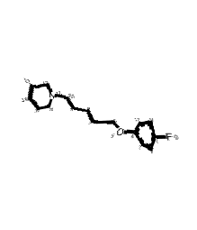 Fc1ccc(OCCCCCN2CC[CH]CC2)cc1